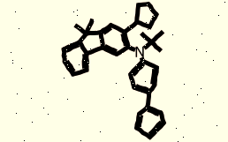 CC1(C)c2ccccc2-c2cc(N(c3ccc(-c4ccccc4)cc3)C(C)(C)C)c(C3CCCC3)cc21